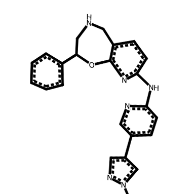 Cn1cc(-c2ccc(Nc3ccc4c(n3)OC(c3ccccc3)CNC4)nc2)cn1